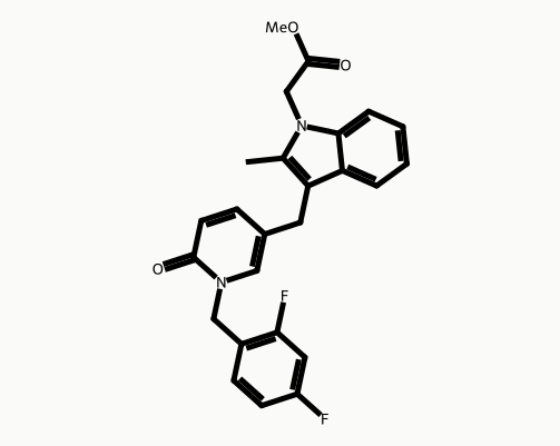 COC(=O)Cn1c(C)c(Cc2ccc(=O)n(Cc3ccc(F)cc3F)c2)c2ccccc21